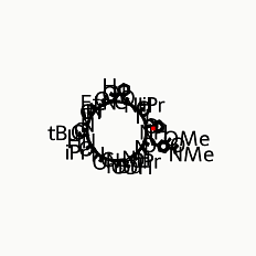 CCCCN1CC(=O)N(C)[C@@H](CC(C)C)C(=O)N[C@@H](COC(C)(C)C)C(=O)N(C)[C@@H](CC(C)C)C(=O)N(C)[C@@H](CC)C(=O)N[C@H](C(=O)N2CCCCC2)CC(=O)N[C@H](CC(C)C)C(=O)N(C)[C@@H](Cc2ccccc2)C(=O)N[C@@H](CCc2ccc(C(=O)NC)c(OC)c2)C(=O)N(C)[C@@H](CC(C)C)C(=O)N[C@@H]([C@@H](C)O)C1=O